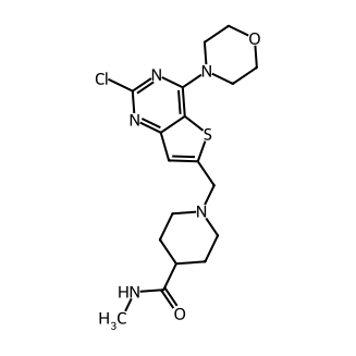 CNC(=O)C1CCN(Cc2cc3nc(Cl)nc(N4CCOCC4)c3s2)CC1